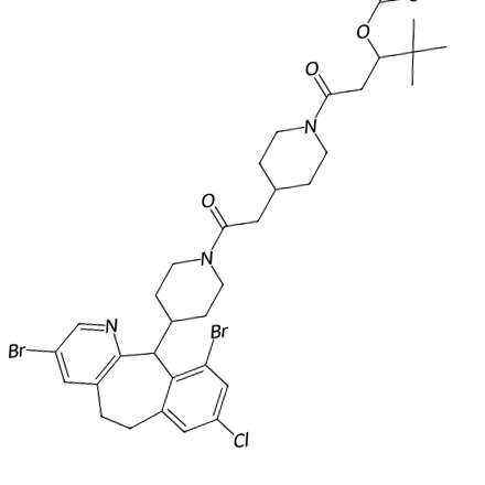 CC(C)(C)C(CC(=O)N1CCC(CC(=O)N2CCC(C3c4ncc(Br)cc4CCc4cc(Cl)cc(Br)c43)CC2)CC1)OC(N)=O